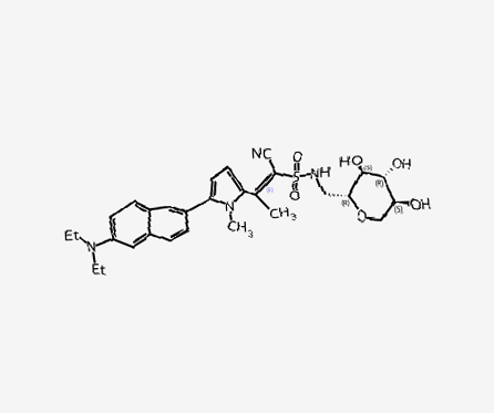 CCN(CC)c1ccc2cc(-c3ccc(/C(C)=C(\C#N)S(=O)(=O)NC[C@H]4OC[C@H](O)[C@@H](O)[C@@H]4O)n3C)ccc2c1